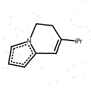 CC(C)C1=Cc2cccn2CC1